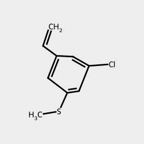 C=Cc1cc(Cl)cc(SC)c1